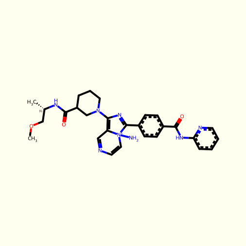 COC[C@H](C)NC(=O)C1CCCN(C2=C3C=NC=C[N+]3(N)C(c3ccc(C(=O)Nc4ccccn4)cc3)=N2)C1